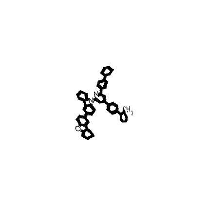 CC1C=CC=CC1c1ccc(-c2cc(-c3ccc(-c4ccccc4)cc3)nc(-n3c4ccccc4c4cc(-c5ccc6oc7ccccc7c6c5)ccc43)c2)cc1